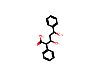 O=C(O)C(c1ccccc1)C(O)CC(O)c1ccccc1